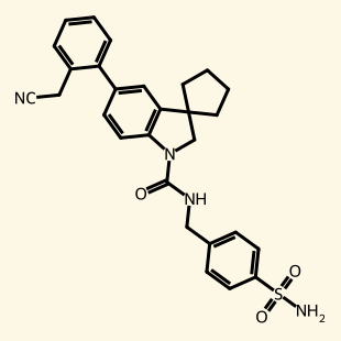 N#CCc1ccccc1-c1ccc2c(c1)C1(CCCC1)CN2C(=O)NCc1ccc(S(N)(=O)=O)cc1